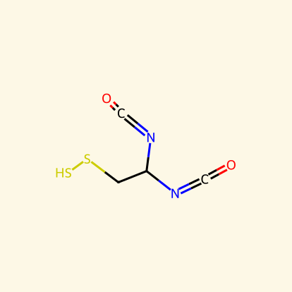 O=C=NC(CSS)N=C=O